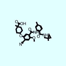 COc1cc(C#N)c(OC2CCC(C)(C(=O)O)CC2)cc1C(=O)Nc1cc(C)ccc1C(=O)NCC1(C)CC1